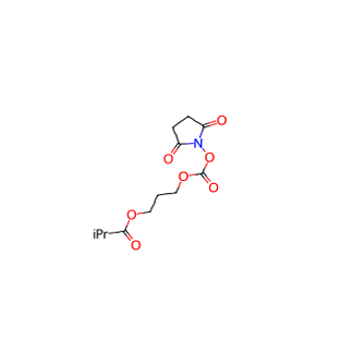 CC(C)C(=O)OCCCOC(=O)ON1C(=O)CCC1=O